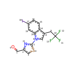 O=Cc1csc(-n2cc(CC(F)(F)F)c3ccc(I)cc32)n1